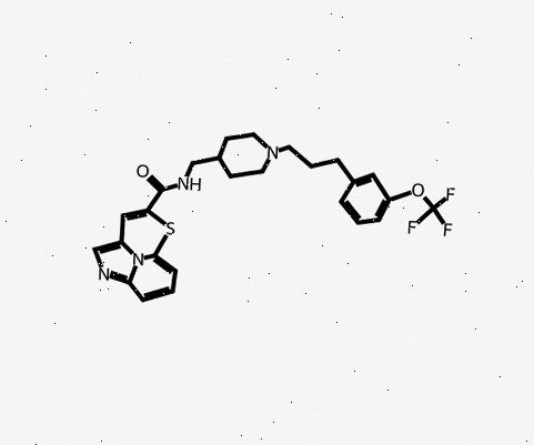 O=C(NCC1CCN(CCCc2cccc(OC(F)(F)F)c2)CC1)C1=Cc2cnc3cccc(n23)S1